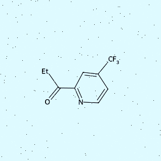 CCC(=O)c1cc(C(F)(F)F)ccn1